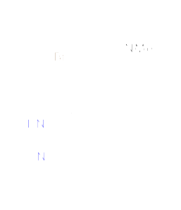 CNc1ccc2cn[nH]c2c1Br